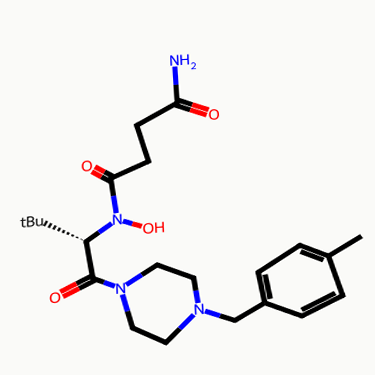 Cc1ccc(CN2CCN(C(=O)[C@@H](N(O)C(=O)CCC(N)=O)C(C)(C)C)CC2)cc1